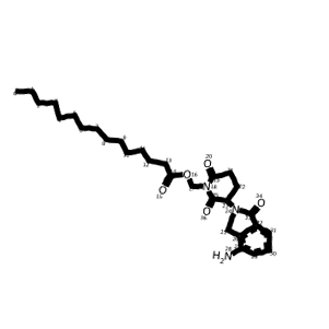 CCCCCCCCCCCCCCC(=O)OCN1C(=O)CCC(N2Cc3c(N)cccc3C2=O)C1=O